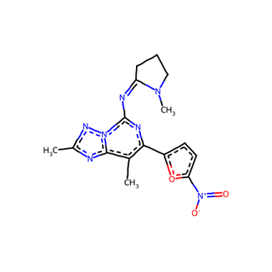 Cc1nc2c(C)c(-c3ccc([N+](=O)[O-])o3)nc(N=C3CCCN3C)n2n1